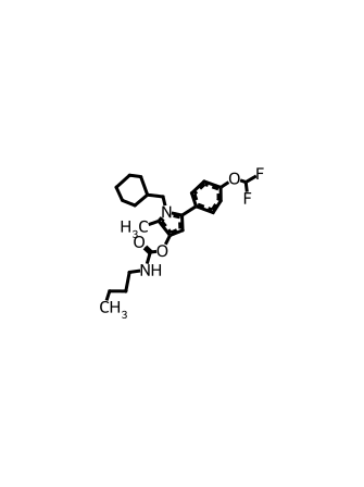 CCCCNC(=O)Oc1cc(-c2ccc(OC(F)F)cc2)n(CC2CCCCC2)c1C